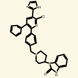 O=c1[nH]c2ccccc2n1C1CCN(Cc2ccc(-c3nc(Cl)c(-c4ncc[nH]4)cc3-c3ccccc3)cc2)CC1